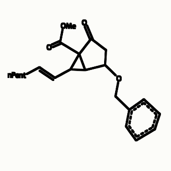 CCCCCC=CC1C2C(OCc3ccccc3)CC(=O)C12C(=O)OC